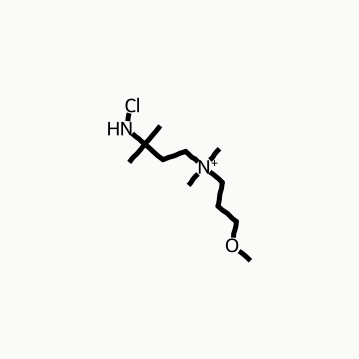 COCCC[N+](C)(C)CCC(C)(C)NCl